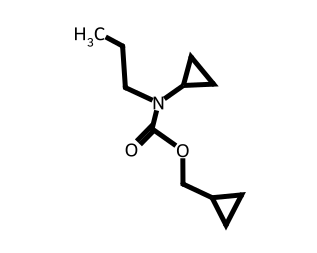 CCCN(C(=O)OCC1CC1)C1CC1